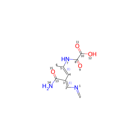 C=N/C=C(\C=C(/C)NC(=O)C(=O)O)C(N)=O